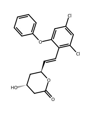 O=C1C[C@H](O)C[C@@H](/C=C/c2c(Cl)cc(Cl)cc2Oc2ccccc2)O1